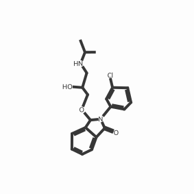 CC(C)NCC(O)COC1c2ccccc2C(=O)N1c1cccc(Cl)c1